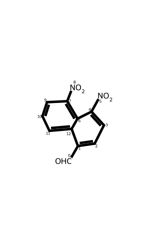 O=Cc1ccc([N+](=O)[O-])c2c([N+](=O)[O-])cccc12